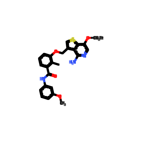 CCOC(=O)Oc1cnc(N)c2c(COc3cccc(C(=O)Nc4cccc(OC(F)(F)F)c4)c3C)csc12